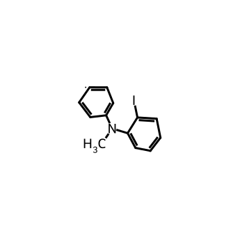 CN(c1cc[c]cc1)c1ccccc1I